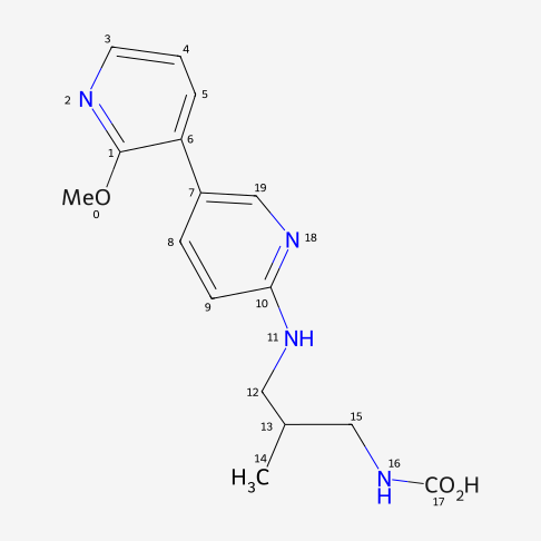 COc1ncccc1-c1ccc(NCC(C)CNC(=O)O)nc1